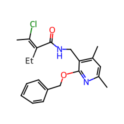 CC/C(C(=O)NCc1c(C)cc(C)nc1OCc1ccccc1)=C(\C)Cl